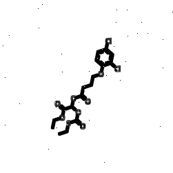 CCOC(=O)C(OC(=O)CCCOc1ccc(Cl)cc1Cl)OC(=O)SCC